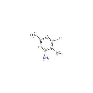 Nc1cc([N+](=O)[O-])cc(F)c1[N+](=O)[O-]